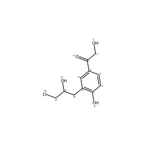 O=C(CO)c1ccc(O)c(CC(O)CCl)c1